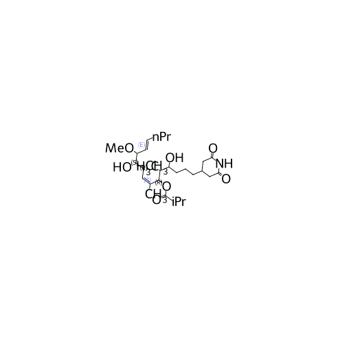 CCC/C=C/C(OC)[C@@H](O)[C@H](C)/C=C(/C)[C@H](OC(=O)C(C)C)C(C)C(O)CCCC1CC(=O)NC(=O)C1